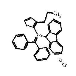 CCCC1=[C]([Zr+2](=[C](c2ccccc2)c2ccccc2)[CH]2c3ccccc3-c3ccccc32)CC=C1.[Cl-].[Cl-]